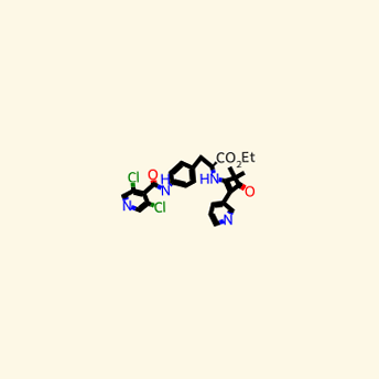 CCOC(=O)[C@H](Cc1ccc(NC(=O)c2c(Cl)cncc2Cl)cc1)NC1=C(c2cccnc2)C(=O)C1(C)C